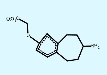 CCOC(=O)COc1ccc2c(c1)CCC(N)CC2